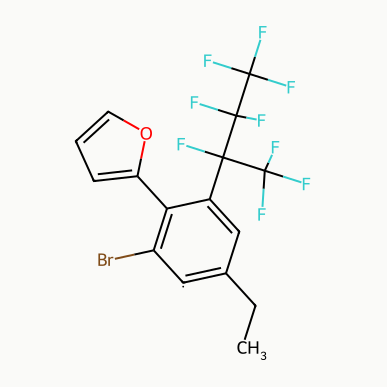 CCc1[c]c(Br)c(-c2ccco2)c(C(F)(C(F)(F)F)C(F)(F)C(F)(F)F)c1